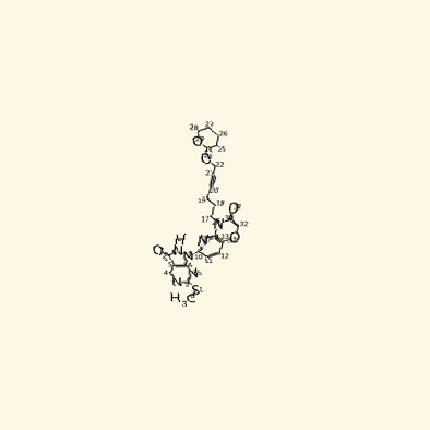 CSc1ncc2c(=O)[nH]n(-c3ccc4c(n3)N(CCCC#CCOC3CCCCO3)C(=O)CO4)c2n1